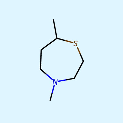 CC1CCN(C)CCS1